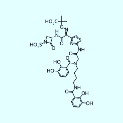 CC(C)(O/N=C(\C(=O)N[C@H]1CN(S(=O)(=O)O)C1=O)c1csc(NC(=O)CN(CCCCNC(=O)c2cccc(O)c2O)C(=O)c2cccc(O)c2O)n1)C(=O)O